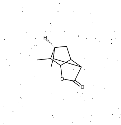 CC1C2OC(=O)C3C2C[C@H]1C3C